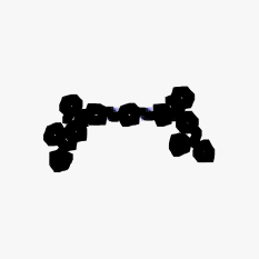 Cc1ccccc1N(c1ccc(C=C(c2ccccc2)c2ccccc2)cc1)c1ccc(/C=C/c2ccc(/C=C/c3ccc(N(c4ccc(CC(c5ccccc5)C5C=CC=CC5)cc4)c4ccccc4C)cc3)cc2)cc1